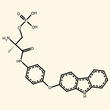 C[C@](N)(COP(=O)(O)O)C(=O)Nc1ccc(Oc2ccc3c(c2)[nH]c2ccccc23)cc1